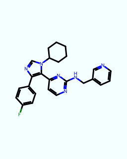 Fc1ccc(-c2ncn(C3CCCCC3)c2-c2ccnc(NCc3cccnc3)n2)cc1